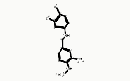 CCOC(=O)Nc1ccc(CNc2ccc(Cl)c(Cl)c2)cc1[N+](=O)[O-]